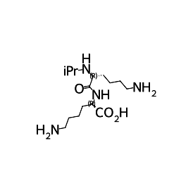 CC(C)N[C@H](CCCCN)C(=O)N[C@H](CCCCN)C(=O)O